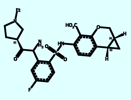 CCN1CC[C@H](C(=O)C(N)c2cc(F)ccc2S(=O)(=O)Nc2ccc3c(c2C(=O)O)OC[C@@H]2C[C@H]32)C1